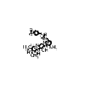 CNC1C(O)C(OC2C(N)CC(N)C(OC3OC(CNC(=O)OCc4ccc([N+](=O)[O-])cc4)=CCC3N)C2O)OCC1(C)O